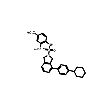 COc1cc(C(=O)O)ccc1NS(=O)(=O)N1Cc2cccc(-c3ccc(C4CCCCC4)cc3)c2C1